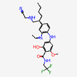 C/C=N\c1cc(C(CCCC)CNCC#N)ccc1Nc1cc(O)c(C(=O)NCC(F)(F)F)c(OC)c1